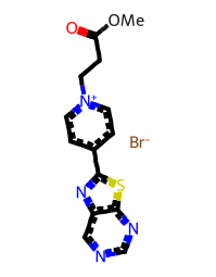 COC(=O)CC[n+]1ccc(-c2nc3cncnc3s2)cc1.[Br-]